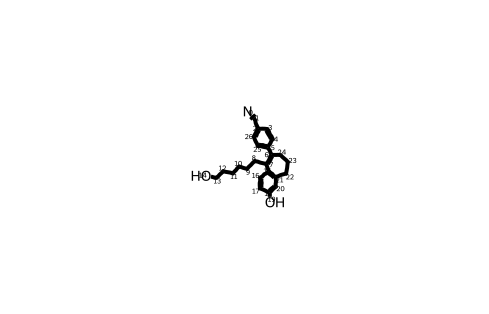 N#Cc1ccc(C2=C(CCCCCCO)c3ccc(O)cc3CCC2)cc1